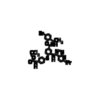 CC(C)c1ccc2c(Nc3cc(C(=O)NC(C)c4ccc(Br)cc4)ccc3Sc3ccc(NC(=O)OCC(Cl)(Cl)Cl)cc3)ncnc2n1